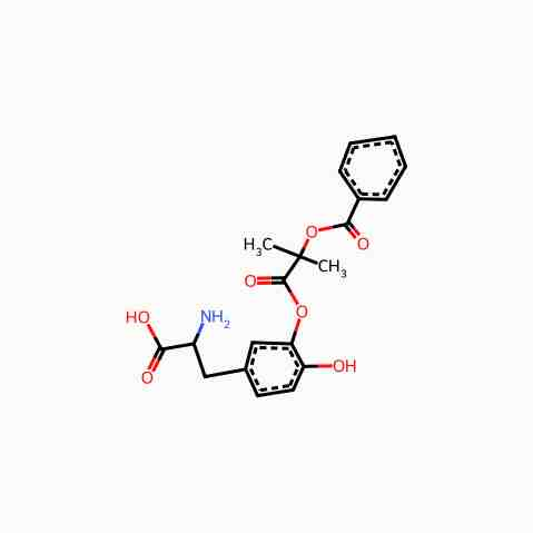 CC(C)(OC(=O)c1ccccc1)C(=O)Oc1cc(CC(N)C(=O)O)ccc1O